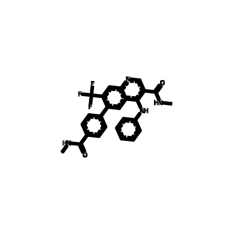 CNC(=O)c1ccc(-c2cc3c(Nc4ccccc4)c(C(=O)NC)cnc3cc2C(F)(F)F)cc1